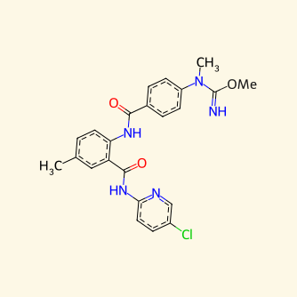 COC(=N)N(C)c1ccc(C(=O)Nc2ccc(C)cc2C(=O)Nc2ccc(Cl)cn2)cc1